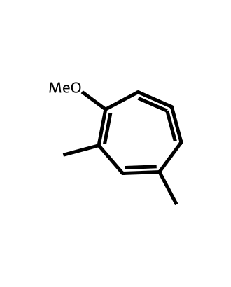 COC1=C(C)C=C(C)C=C=C1